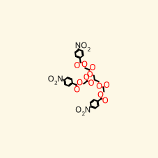 O=C(COC(=O)c1ccc([N+](=O)[O-])cc1)OCC(COC(=O)COC(=O)c1ccc([N+](=O)[O-])cc1)OC(=O)COC(=O)c1ccc([N+](=O)[O-])cc1